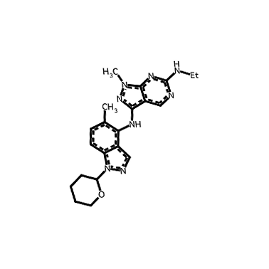 CCNc1ncc2c(Nc3c(C)ccc4c3cnn4C3CCCCO3)nn(C)c2n1